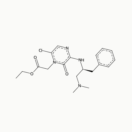 CCOC(=O)Cn1c(Cl)cnc(N[C@@H](Cc2ccccc2)CN(C)C)c1=O